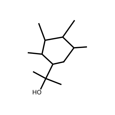 CC1CC(C(C)(C)O)C(C)C(C)C1C